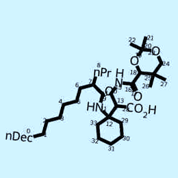 CCCCCCCCCCCCCCCCC(CCC)C(=O)NC1(C(CNC(=O)C2OC(C)(C)OCC2(C)C)C(=O)O)CCCCC1